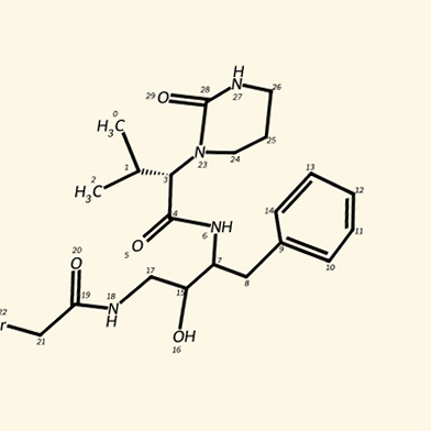 CC(C)[C@@H](C(=O)NC(Cc1ccccc1)C(O)CNC(=O)CBr)N1CCCNC1=O